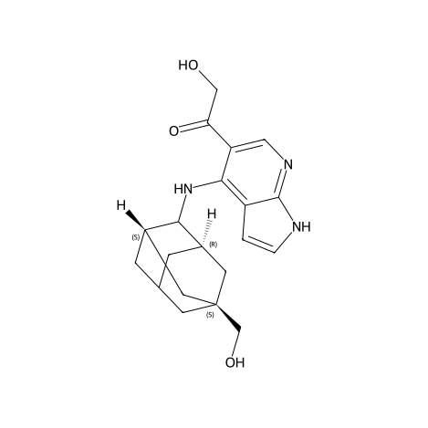 O=C(CO)c1cnc2[nH]ccc2c1NC1[C@@H]2CC3C[C@H]1C[C@@](CO)(C3)C2